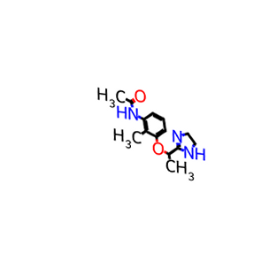 CC(=O)Nc1cccc(OC(C)C2=NCCN2)c1C